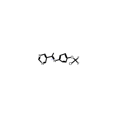 C/C(=N\c1ccc(OC(F)(F)Cl)cc1)c1cncnc1